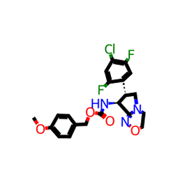 COc1ccc(COC(=O)N[C@@H]2C3=NOCCN3C[C@H]2c2cc(F)c(Cl)cc2F)cc1